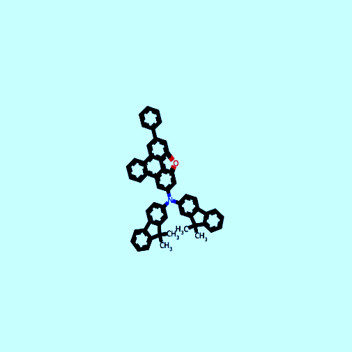 CC1(C)c2ccccc2-c2ccc(N(c3ccc4c(c3)C(C)(C)c3ccccc3-4)c3cc4oc5cc(-c6ccccc6)cc6c7ccccc7c(c3)c4c56)cc21